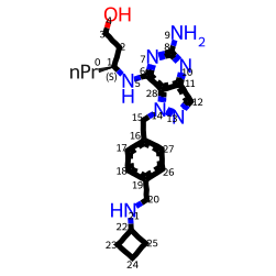 CCC[C@@H](CCO)Nc1nc(N)nc2cnn(Cc3ccc(CNC4CCC4)cc3)c12